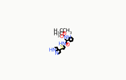 CC(C)(C)OC(=O)NCC(C(=O)Nc1ccc(-c2ccnc3[nH]ccc23)s1)c1ccccc1